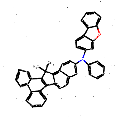 CC1(C)c2c(ccc3cc(N(c4ccccc4)c4ccc5c(c4)oc4ccccc45)ccc23)-c2c1c1ccccc1c1ccccc21